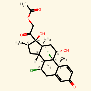 CC(=O)OCC(=O)[C@@]1(O)[C@H](C)C[C@H]2[C@@H]3[C@H](Cl)CC4=CC(=O)C=C[C@]4(C)[C@@]3(F)[C@@H](O)C[C@@]21C